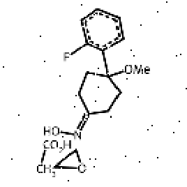 C1CO1.CC(=O)O.COC1(c2ccccc2F)CCC(=NO)CC1